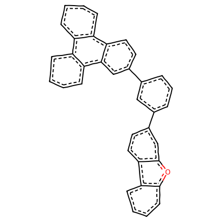 c1cc(-c2ccc3c(c2)oc2ccccc23)cc(-c2ccc3c4ccccc4c4ccccc4c3c2)c1